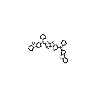 c1ccc(N(c2ccc3c(c2)oc2ccccc23)c2cnc3c(c2)sc2nc(N(c4ccccc4)c4ccc5c(c4)oc4ccccc45)nnc23)cc1